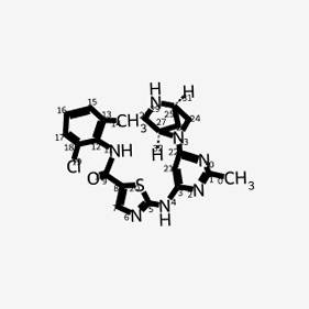 Cc1nc(Nc2ncc(C(=O)Nc3c(C)cccc3Cl)s2)cc(N2C[C@H]3C[C@@H]2CN3)n1